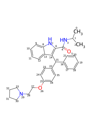 CC(C)NC(=O)c1[nH]c2ccccc2c1C(c1ccccc1)c1ccc(OCCN2CCCC2)cc1